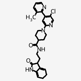 Cc1cccnc1-c1cc(N2CCC(C(=O)NCCC3C(=O)NC4=CCCC=C43)CC2)ncc1Cl